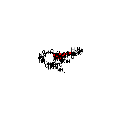 CC[C@H](C)[C@@H]1NC(=O)CNC(=O)C2Cc3c([nH]c4cc(OCc5ccc(NC(=O)[C@@H](C)NC(=O)[C@@H](N)C(C)C)cc5)ccc34)SCC(NC(=O)CNC1=O)C(=O)N[C@@H](CC(N)=O)C(=O)N1C[C@H](O)C[C@]1(C=O)N[C@@H]([C@@H](C)[C@@H](O)CO)C(=O)N2